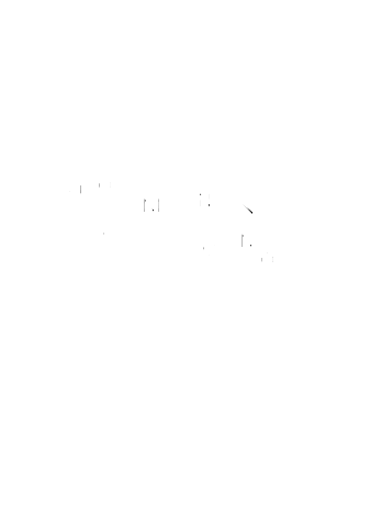 CC(C)(C)OC(=O)NC(C(=O)N1CCC[C@H]1C=NOCc1ccccc1)C1CCCCC1